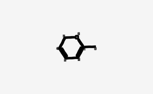 CC1=CC=CCO1